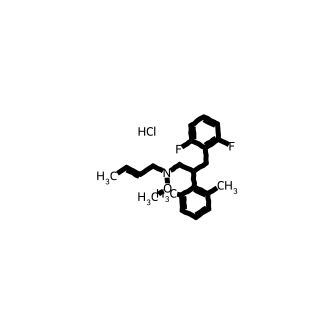 CC=CCN(CC(Cc1c(F)cccc1F)c1c(C)cccc1C)OC.Cl